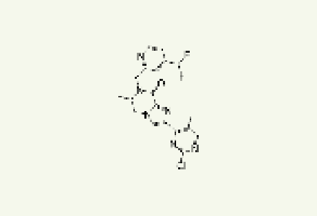 Cc1cnc(Cl)nc1-c1cn2c(n1)C(=O)N(Cc1cc(C(F)F)ccn1)C(C)C2